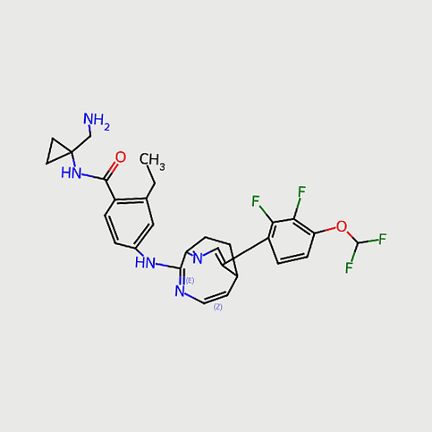 CCc1cc(N/C2=N/C=C\C3CCC2=NC=C3c2ccc(OC(F)F)c(F)c2F)ccc1C(=O)NC1(CN)CC1